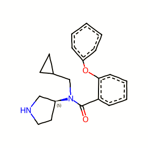 O=C(c1ccccc1Oc1ccccc1)N(CC1CC1)[C@H]1CCNC1